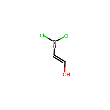 OC=C[SiH](Cl)Cl